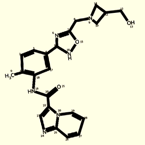 Cc1ccc(C2N=C(CN3CC(CO)C3)ON2)cc1NC(=O)c1cnc2ccccn12